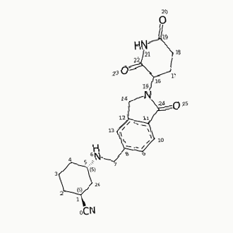 N#C[C@H]1CCC[C@H](NCc2ccc3c(c2)CN(C2CCC(=O)NC2=O)C3=O)C1